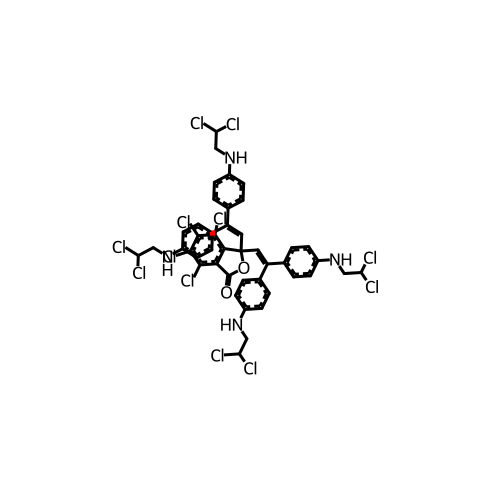 O=C1OC(C=C(c2ccc(NCC(Cl)Cl)cc2)c2ccc(NCC(Cl)Cl)cc2)(C=C(c2ccc(NCC(Cl)Cl)cc2)c2ccc(NCC(Cl)Cl)cc2)c2c(Cl)c(Cl)c(Cl)c(Cl)c21